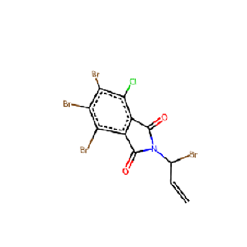 C=CC(Br)N1C(=O)c2c(Cl)c(Br)c(Br)c(Br)c2C1=O